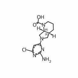 Nc1nc(Cl)cc(N2C[C@H]3CCCN(C(=O)O)[C@H]3C2)n1